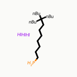 CCCCC(CCCC)(CCCC)CCCCCCCP.I.I.I